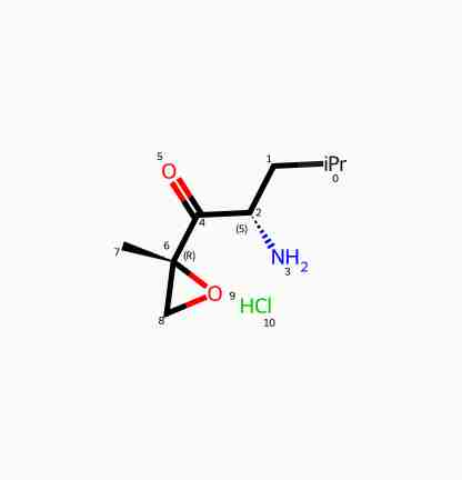 CC(C)C[C@H](N)C(=O)[C@@]1(C)CO1.Cl